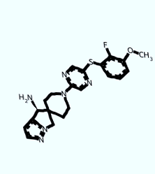 COc1cccc(Sc2cnc(N3CCC4(CC3)Cn3nccc3[C@H]4N)cn2)c1F